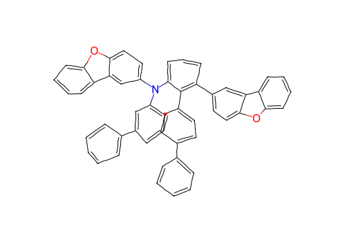 c1ccc(-c2ccc(-c3c(-c4ccc5oc6ccccc6c5c4)cccc3N(c3cccc(-c4ccccc4)c3)c3ccc4oc5ccccc5c4c3)cc2)cc1